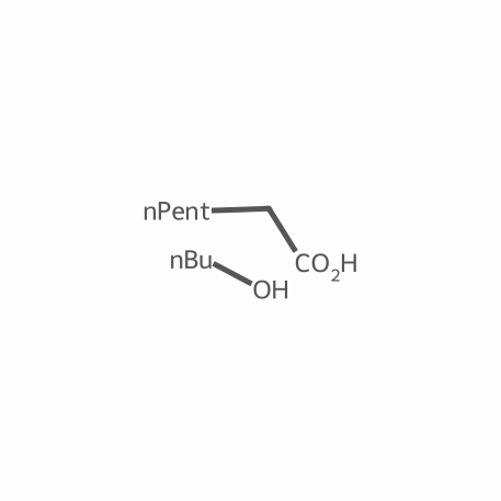 CCCCCCC(=O)O.CCCCO